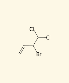 C=CC(Br)C(Cl)Cl